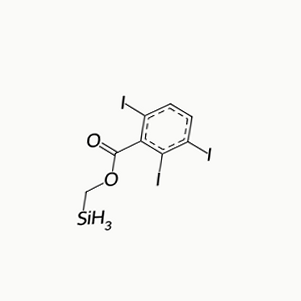 O=C(OC[SiH3])c1c(I)ccc(I)c1I